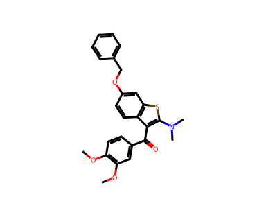 COc1ccc(C(=O)c2c(N(C)C)sc3cc(OCc4ccccc4)ccc23)cc1OC